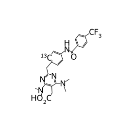 CN(C)c1nc(Cc2ccc(NC(=O)c3ccc(C(F)(F)F)cc3)c[13cH]2)nc(N(C)C)c1CC(=O)O